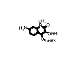 CCCCCCOc1c(OC)c(=O)n(C)c2cc(N)ccc12